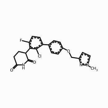 Cn1ccc(COc2ccc(-c3ccc(F)c(C4CCC(=O)NC4=O)c3Cl)cc2)n1